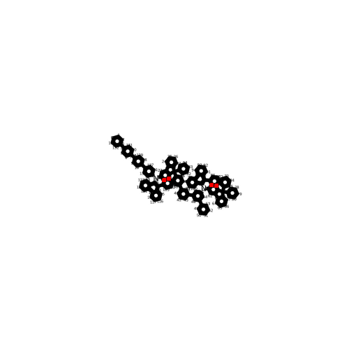 c1ccc(-c2ccc(-c3ccc(-c4ccc(N(c5ccc6c(c5)-c5ccccc5C6(c5ccccc5)c5ccc(-c6cccc(-c7cc(-c8ccccc8)cc(N(c8ccc9c(c8)-c8ccccc8C9(c8ccccc8)c8ccccc8)c8c(-c9ccccc9)c9ccccc9c9ccccc89)c7)c6)cc5)c5c(-c6ccccc6)c6ccccc6c6ccccc56)cc4)cc3)cc2)cc1